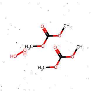 COC(=O)OC.COC(=O)OC.OO